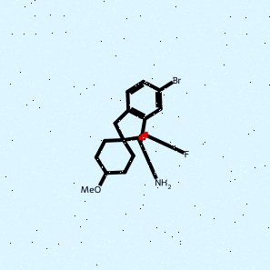 COC1CCC2(CC1)Cc1ccc(Br)cc1C21C=C(F)C(N)=N1